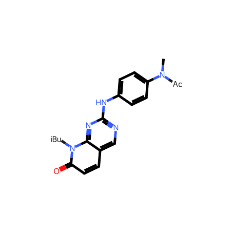 CCC(C)n1c(=O)ccc2cnc(Nc3ccc(N(C)C(C)=O)cc3)nc21